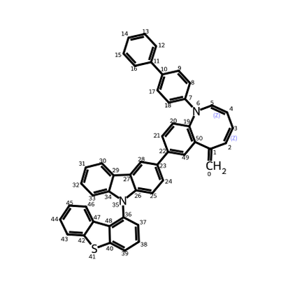 C=C1/C=C\C=C/N(c2ccc(-c3ccccc3)cc2)c2ccc(-c3ccc4c(c3)c3ccccc3n4-c3cccc4sc5ccccc5c34)cc21